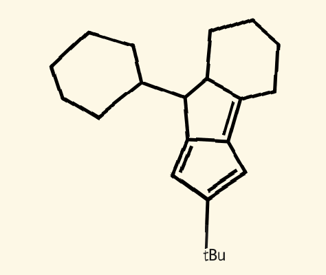 CC(C)(C)C1=CC2=C3CCCCC3C(C3CCCCC3)C2=C1